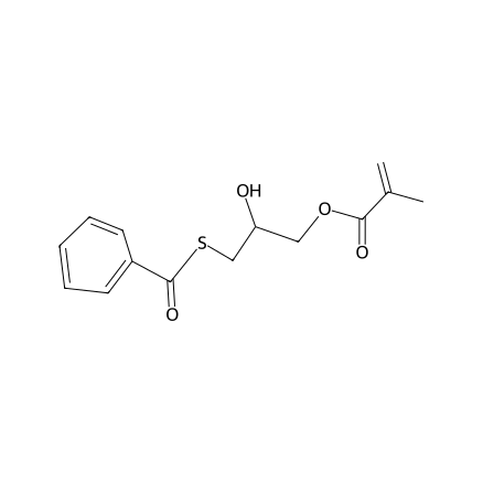 C=C(C)C(=O)OCC(O)CSC(=O)c1ccccc1